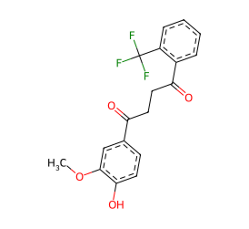 COc1cc(C(=O)CCC(=O)c2ccccc2C(F)(F)F)ccc1O